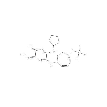 N=C1N=C(NC2CCCC2)C(NC2=CCC(OC(F)(F)F)=CC=C2)=N/C1=N/O